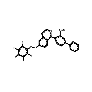 COc1cc(-c2ccccc2)ccc1-c1nccc2cc(SOc3c(F)c(F)c(F)c(F)c3F)ccc12